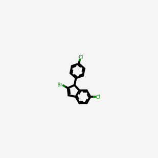 Clc1ccc(C2C(Br)=Cc3ccc(Cl)cc32)cc1